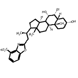 CC[C@H]1[C@@H](O)C2[C@@H]3CC[C@H]([C@H](C)Cc4nc5c(C(=O)O)cccc5o4)C3(C)CC[C@@H]2[C@@]2(C)CC[C@@H](O)C[C@@H]12